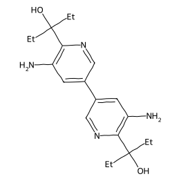 CCC(O)(CC)c1ncc(-c2cnc(C(O)(CC)CC)c(N)c2)cc1N